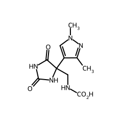 Cc1nn(C)cc1C1(CNC(=O)O)NC(=O)NC1=O